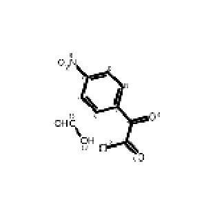 O=C(Cl)C(=O)c1ccc([N+](=O)[O-])cc1.O=CO